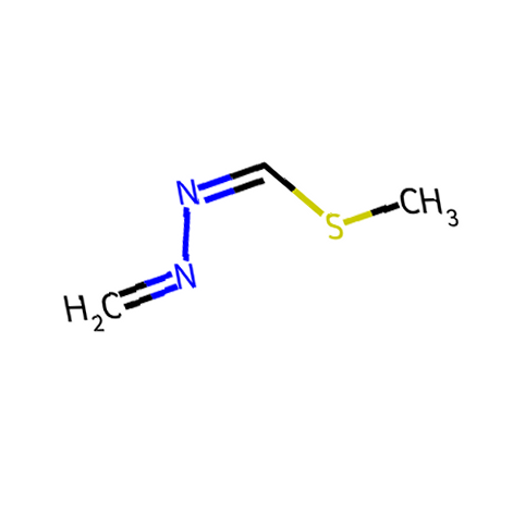 C=N/N=C\SC